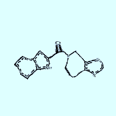 O=C(c1cc2ccccc2[nH]1)N1CCc2ncsc2C1